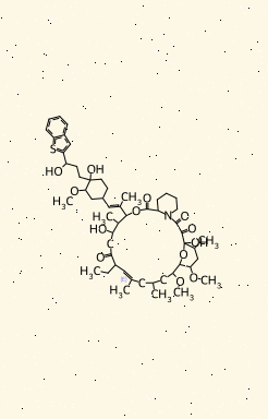 CCC1/C=C(\C)CC(C)CC(OC)C2OC(O)(C(=O)C(=O)N3CCCCC3C(=O)OC(C(C)=CC3CCC(O)(CCC(O)c4cc5ccccc5s4)C(OC)C3)C(C)C(O)CC1=O)C(C)CC2OC